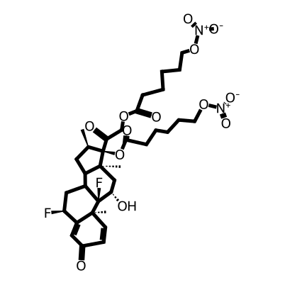 C[C@@H]1CC2C3C[C@H](F)C4=CC(=O)C=C[C@]4(C)[C@@]3(F)[C@@H](O)C[C@]2(C)[C@@]1(OC(=O)CCCCCO[N+](=O)[O-])C(=O)COC(=O)CCCCCO[N+](=O)[O-]